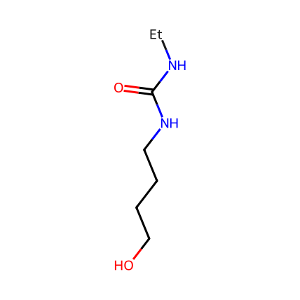 CCNC(=O)NCCCCO